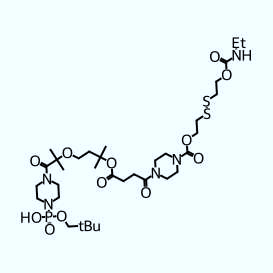 CCNC(=O)OCCSSCCOC(=O)N1CCN(C(=O)CCC(=O)OC(C)(C)CCOC(C)(C)C(=O)N2CCN(P(=O)(O)OCC(C)(C)C)CC2)CC1